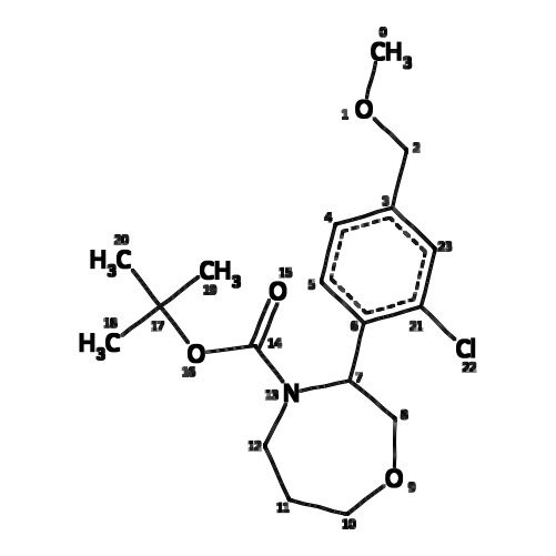 COCc1ccc(C2COCCCN2C(=O)OC(C)(C)C)c(Cl)c1